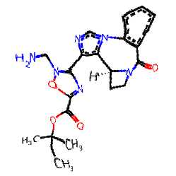 CC(C)(C)OC(=O)C1=NC(c2ncn3c2[C@@H]2CCN2C(=O)c2ccccc2-3)N(CN)O1